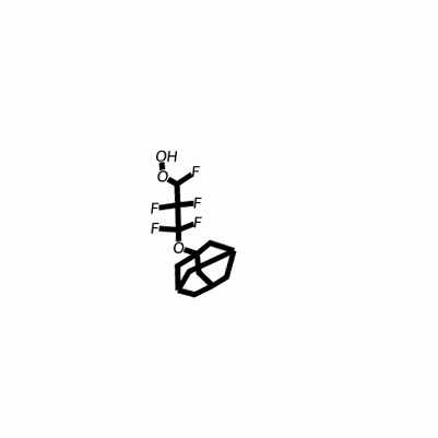 OOC(F)C(F)(F)C(F)(F)OC12CC3CC(CC(C3)C1)C2